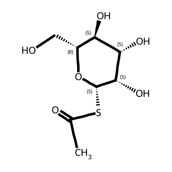 CC(=O)S[C@@H]1O[C@H](CO)[C@@H](O)[C@H](O)[C@@H]1O